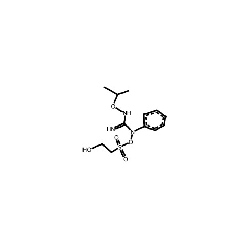 CC(C)ONC(=N)N(OS(=O)(=O)CCO)c1ccccc1